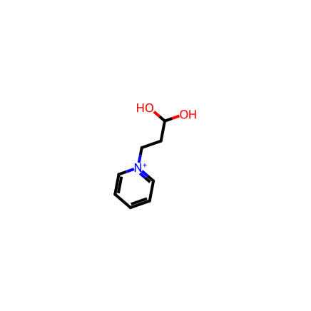 OC(O)CC[n+]1ccccc1